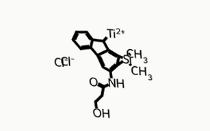 C[Si]1(C)c2c(NC(=O)CCO)cc3c(c21)[CH]([Ti+2])c1ccccc1-3.[Cl-].[Cl-]